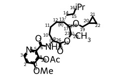 COc1ccnc(C(=O)N[C@H]2CCC[C@H](CCC(C)C)[C@@H](OCC3CC3)[C@H](C)OC2=O)c1OC(C)=O